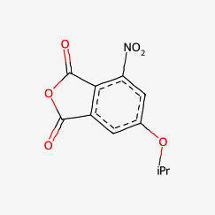 CC(C)Oc1cc2c(c([N+](=O)[O-])c1)C(=O)OC2=O